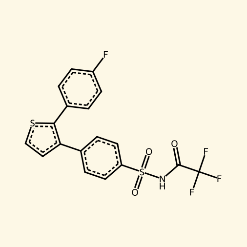 O=C(NS(=O)(=O)c1ccc(-c2ccsc2-c2ccc(F)cc2)cc1)C(F)(F)F